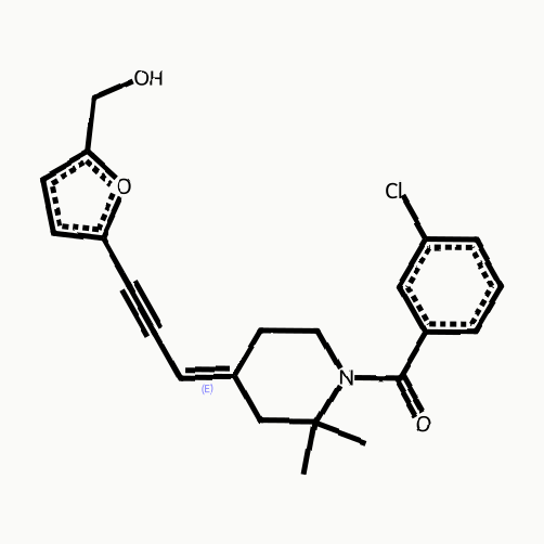 CC1(C)C/C(=C/C#Cc2ccc(CO)o2)CCN1C(=O)c1cccc(Cl)c1